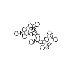 c1ccc(-n2c3ccccc3c3cc4c(cc32)C2(c3ccccc3Oc3ccccc32)c2ccc3c(c2-4)c2ccc(-c4cccc5c4Oc4ccccc4C54c5c(ccc6c5c5ccccc5n6-c5ccccc5)-c5ccc6c7ccccc7n(-c7ccccc7)c6c54)cc2n3-c2ccccc2)cc1